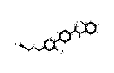 C#CCNCc1cnc(-c2ccc(C(=O)Nc3ccccc3N)cc2)c(C)c1